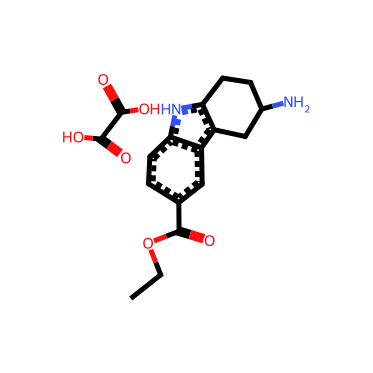 CCOC(=O)c1ccc2[nH]c3c(c2c1)CC(N)CC3.O=C(O)C(=O)O